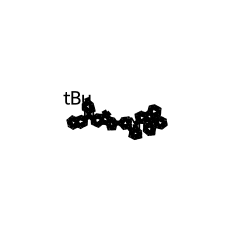 CC(C)(C)c1ccc(N(c2ccc3c(c2)C(C)(C)c2cc(-c4ccc5c(c4)c4ccccc4n5-c4ccc5c(c4)C(c4ccccc4)(c4ccccc4)c4ccccc4-5)ccc2-3)c2ccc3ccccc3c2)cc1